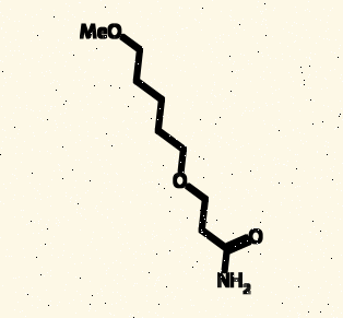 COCCCCCOCCC(N)=O